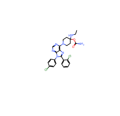 CCNC1(OC(N)=O)CCN(c2ncnc3c2nc(-c2ccccc2Cl)n3-c2ccc(Cl)cc2)CC1